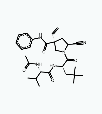 C=C[C@]1(C(=O)Nc2ccccc2)C[C@@H](C#N)N(C(=O)[C@H](CC(C)(C)C)NC(=O)[C@@H](NC(C)=O)C(C)C)C1